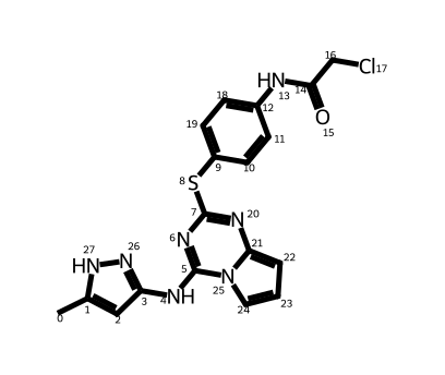 Cc1cc(Nc2nc(Sc3ccc(NC(=O)CCl)cc3)nc3cccn23)n[nH]1